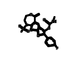 C=C1OCCN(S(C)(=O)=O)c2nc3oc(-c4ccc(F)cc4)c(OC(=O)NC)c3cc21